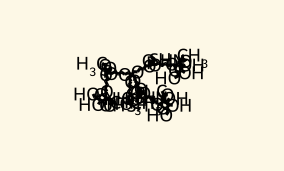 COSP(=O)(OCCCCOC1OC(CO)C(O)C(O)C1NC(C)=O)OCCCOCC(COCCCCOP(=O)(O)S)(COCCCOP(=O)(S)OCCCCOC1OC(CO)C(O)C(O)C1NC(C)=O)COCCOP(=O)(OCCCCOC1OC(CO)C(O)C(O)C1NC(C)=O)SOC